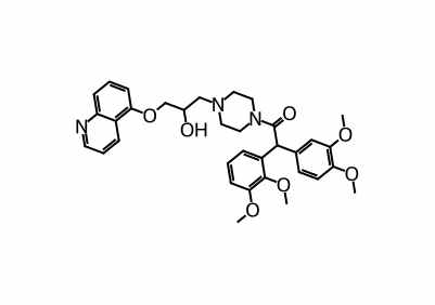 COc1ccc(C(C(=O)N2CCN(CC(O)COc3cccc4ncccc34)CC2)c2cccc(OC)c2OC)cc1OC